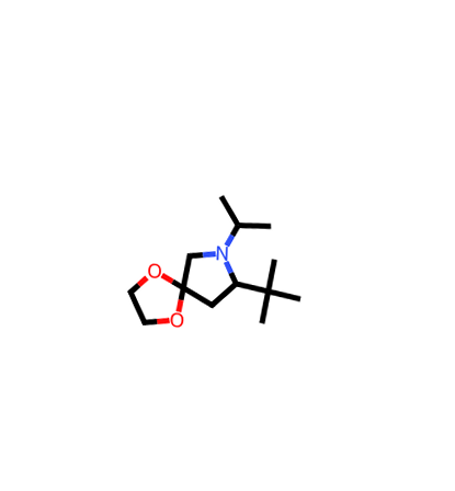 CC(C)N1CC2(CC1C(C)(C)C)OCCO2